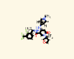 C[C@@H](NC(=O)c1cn(C2(C(F)(F)F)CCOC2)c(=O)cc1NC1[C@H]2CN(C)C[C@@H]12)c1cccc(C(F)F)c1F